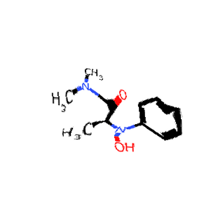 C[C@@H](C(=O)N(C)C)N(O)c1ccccc1